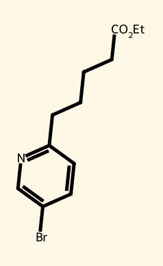 CCOC(=O)CCCCc1ccc(Br)cn1